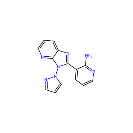 Nc1ncccc1-c1nc2cccnc2n1-n1cccn1